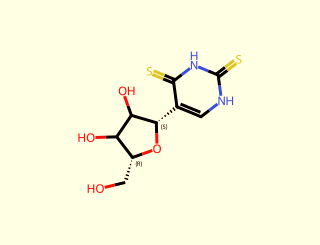 OC[C@H]1O[C@@H](c2c[nH]c(=S)[nH]c2=S)C(O)C1O